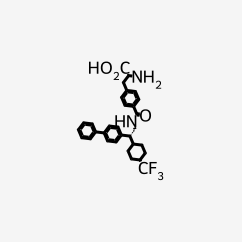 N[C@@H](Cc1ccc(C(=O)NC[C@@H](c2ccc(-c3ccccc3)cc2)C2CCC(C(F)(F)F)CC2)cc1)C(=O)O